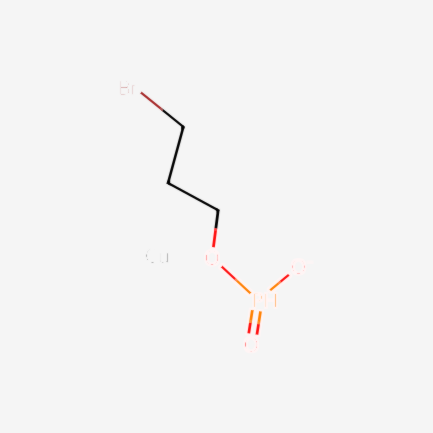 O=[PH]([O-])OCCCBr.[Cu+]